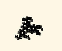 BC(=O)c1nn(-c2ccc(OCC)c(C)c2)c2c1CCN(c1ccc(C)c(C)c1)C2=C